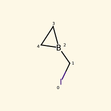 ICB1CC1